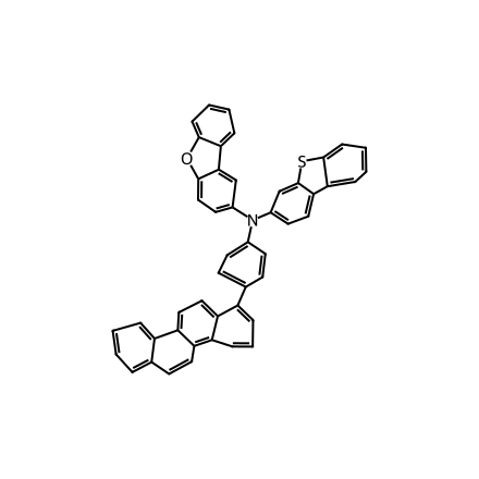 c1ccc2c(c1)ccc1c3cccc(-c4ccc(N(c5ccc6c(c5)sc5ccccc56)c5ccc6oc7ccccc7c6c5)cc4)c3ccc21